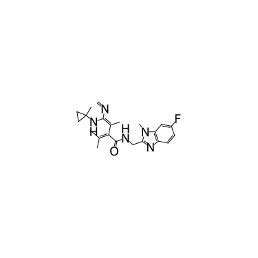 C=N/C(NC1(C)CC1)=C(\C)C(C(=O)NCc1nc2ccc(F)cc2n1C)=C(C)C